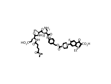 CCn1cc(C(=O)O)c(=O)c2cc(F)c(N3CCN(C(=O)OCc4ccc(NC(=O)[C@H](CN)NC(=O)[C@@H](NC(=O)[C@H](CCC(=O)O)NC(=O)CCCC(=O)N(C)C)C(C)C)cc4)CC3)cc21